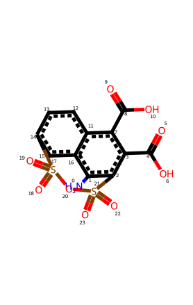 Nc1c2c(C(=O)O)c(C(=O)O)c3ccc(cc13)S(=O)(=O)OS2(=O)=O